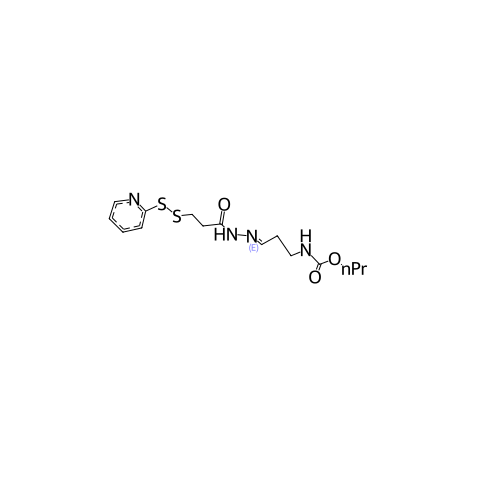 CCCOC(=O)NCC/C=N/NC(=O)CCSSc1ccccn1